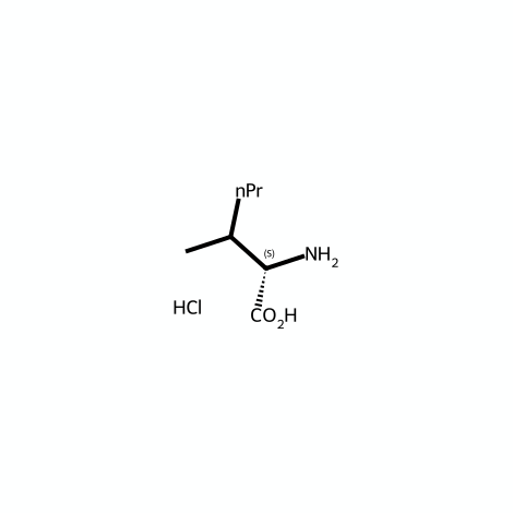 CCCC(C)[C@H](N)C(=O)O.Cl